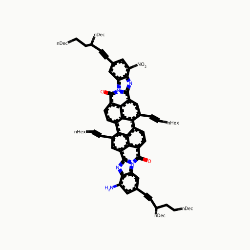 CCCCCCC#Cc1cc2c3c(ccc4c5c(C#CCCCCCC)cc6c7c(ccc(c1c43)c57)c(=O)n1c3cc(C#CC(CCCCCCCCCC)CCCCCCCCCCCC)cc([N+](=O)[O-])c3nc61)c(=O)n1c3cc(C#CC(CCCCCCCCCC)CCCCCCCCCCCC)cc(N)c3nc21